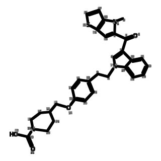 Cn1c(C(=O)c2cn(CCc3ccc(OCC4CCN(C(=O)O)CC4)cc3)c3ccccc23)cc2sccc21